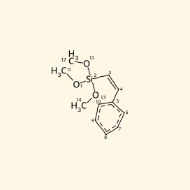 CO[Si](/C=C\c1ccccc1)(OC)OC